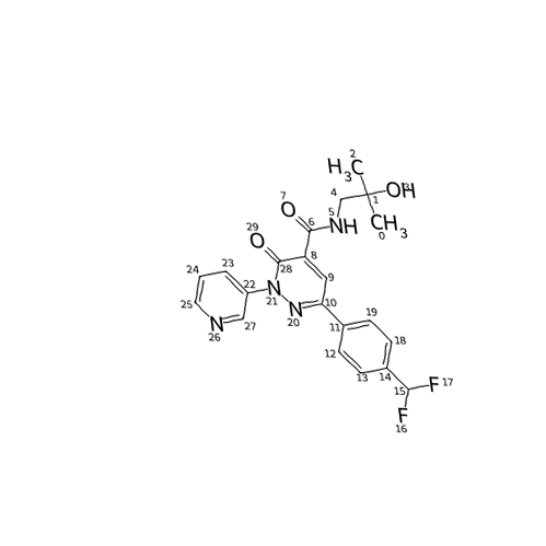 CC(C)(O)CNC(=O)c1cc(-c2ccc(C(F)F)cc2)nn(-c2cccnc2)c1=O